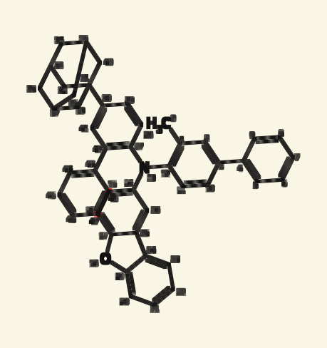 Cc1cc(-c2ccccc2)ccc1N(c1ccc2oc3ccccc3c2c1)c1ccc(C23CC4CC(CC(C4)C2)C3)cc1-c1ccccc1